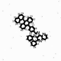 c1ccc(-c2nc3cccnc3c3nc(-c4ccc(-c5c6ccccc6c(-c6cccc7ccccc67)c6ccccc56)cc4)n(-c4ccccc4)c23)cc1